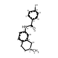 CN1CCc2ccc(NC(=O)c3ccc(I)cc3)cc2C1